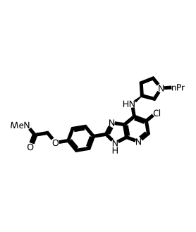 CCCN1CC[C@H](Nc2c(Cl)cnc3[nH]c(-c4ccc(OCC(=O)NC)cc4)nc23)C1